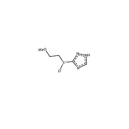 COCC[S+]([O-])c1nc[nH]n1